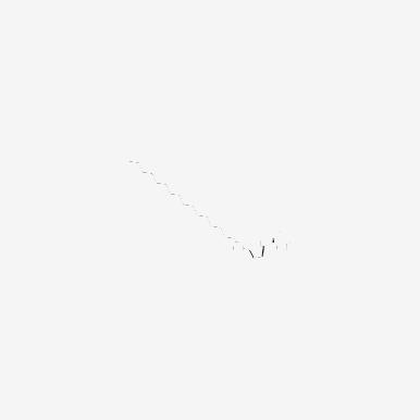 CCCCCCCCCCCCCCCCOc1ccc(C(=O)OC)o1